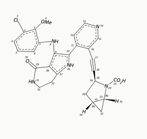 COc1c(Cl)cccc1Nc1c(-c2ccncc2C#C[C@@H]2C[C@H]3C[C@H]3N2C(=O)O)[nH]c2c1C(=O)NCC2